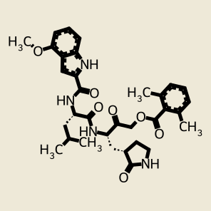 COc1cccc2[nH]c(C(=O)N[C@@H](CC(C)C)C(=O)N[C@@H](C[C@@H]3CCNC3=O)C(=O)COC(=O)c3c(C)cccc3C)cc12